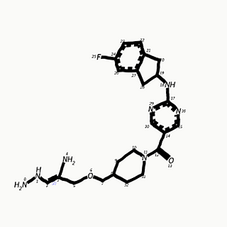 NN/C=C(\N)COCC1CCN(C(=O)c2cnc(NC3Cc4ccc(F)cc4C3)nc2)CC1